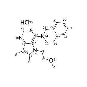 COCCn1c(C)c(C)c2nccc(N3CCc4ccccc4C3)c21.Cl